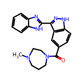 CN1CCCN(C(=O)c2ccc3[nH]nc(-c4nc5ccccc5[nH]4)c3c2)CC1